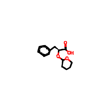 O=C(O)[C@H](Cc1ccccc1)OC1CCCCO1